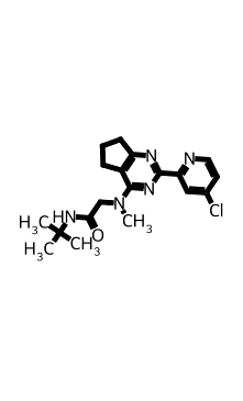 CN(CC(=O)NC(C)(C)C)c1nc(-c2cc(Cl)ccn2)nc2c1CCC2